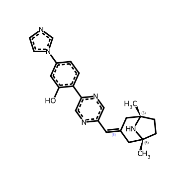 C[C@]12CC[C@](C)(C/C(=C/c3cnc(-c4ccc(-n5ccnc5)cc4O)cn3)C1)N2